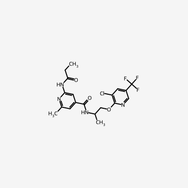 CCC(=O)Nc1cc(C(=O)NC(C)COc2ncc(C(F)(F)F)cc2Cl)cc(C)n1